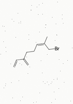 C=CC(=C)CCC=C(C)CBr